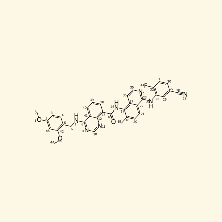 COc1ccc(CNc2ncnc3c(C(=O)Nc4c(C)ccc5c(Nc6cc(C#N)ccc6F)nccc45)cccc23)c(OC)c1